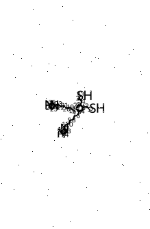 SCCc1cc(CCCCCCn2ccnc2)c(CCCCCCn2ccnc2)cc1CCS